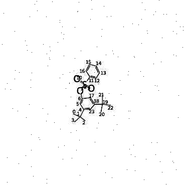 CC(C)(C)c1cc(OS(=O)(=O)c2ccccc2)cc(C(C)(C)C)c1